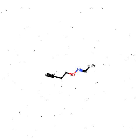 C#CCCO/N=[C]/CCC